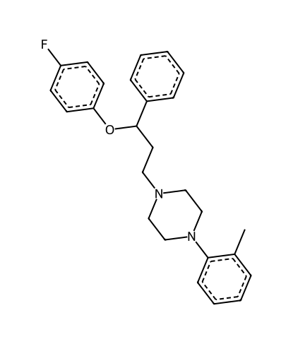 Cc1ccccc1N1CCN(CCC(Oc2ccc(F)cc2)c2ccccc2)CC1